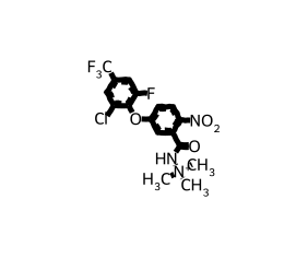 C[N+](C)(C)NC(=O)c1cc(Oc2c(F)cc(C(F)(F)F)cc2Cl)ccc1[N+](=O)[O-]